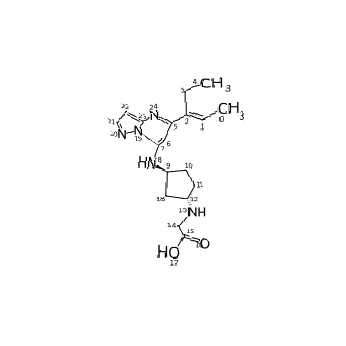 C/C=C(\CC)c1cc(N[C@H]2CC[C@H](NCC(=O)O)C2)n2nccc2n1